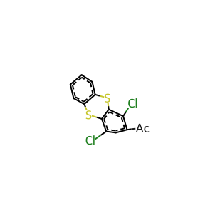 CC(=O)c1cc(Cl)c2c(c1Cl)Sc1ccccc1S2